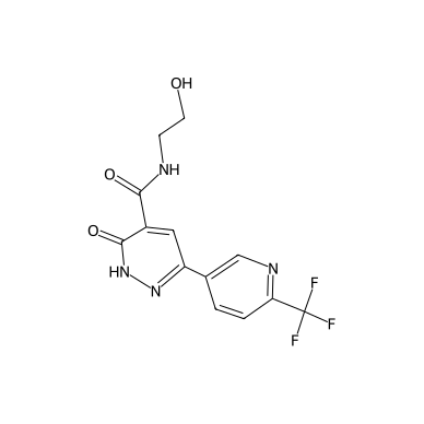 O=C(NCCO)c1cc(-c2ccc(C(F)(F)F)nc2)n[nH]c1=O